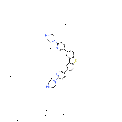 c1cc(N2CCNCC2)ncc1-c1ccc2sc3ccc(-c4ccc(N5CCNCC5)nc4)cc3c2c1